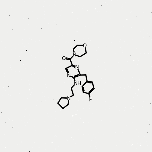 O=C(c1cnc(NCCN2CCCC2)c(Cc2ccc(F)cc2)n1)N1CCOCC1